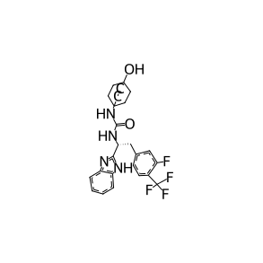 O=C(N[C@H](Cc1ccc(C(F)(F)F)c(F)c1)c1nc2ccccc2[nH]1)NC12CCC(O)(CC1)CC2